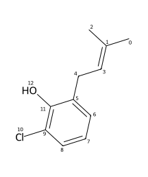 CC(C)=CCc1cccc(Cl)c1O